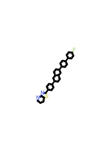 Fc1ccc(-c2ccc(-c3ccc4cc(-c5ccc(-c6nc7ncccc7s6)cc5)ccc4c3)cc2)cc1